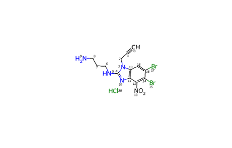 C#CCn1c(NCCCN)nc2c([N+](=O)[O-])c(Br)c(Br)cc21.Cl